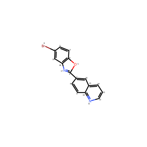 Brc1ccc2oc(-c3ccc4ncccc4c3)nc2c1